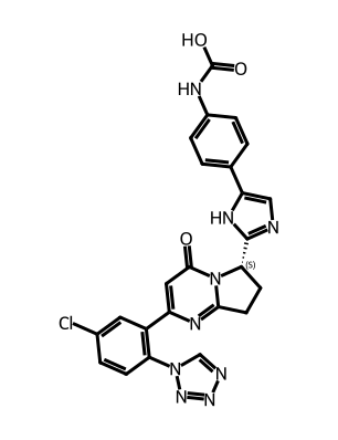 O=C(O)Nc1ccc(-c2cnc([C@@H]3CCc4nc(-c5cc(Cl)ccc5-n5cnnn5)cc(=O)n43)[nH]2)cc1